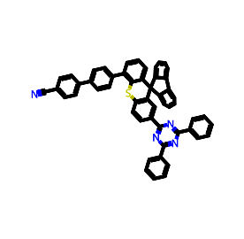 N#Cc1ccc(-c2ccc(-c3cccc4c3Sc3ccc(-c5nc(-c6ccccc6)nc(-c6ccccc6)n5)cc3C43c4ccccc4-c4ccccc43)cc2)cc1